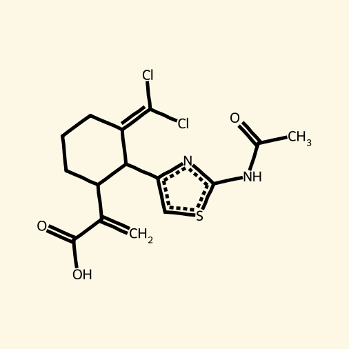 C=C(C(=O)O)C1CCCC(=C(Cl)Cl)C1c1csc(NC(C)=O)n1